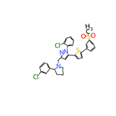 CS(=O)(=O)c1cccc(-c2ccc(-c3cc(CN4CCCC4c4cccc(Cl)c4)nn3-c3ccccc3Cl)s2)c1